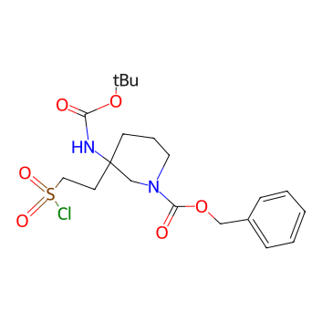 CC(C)(C)OC(=O)NC1(CCS(=O)(=O)Cl)CCCN(C(=O)OCc2ccccc2)C1